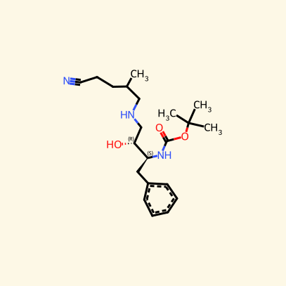 CC(CCC#N)CNC[C@@H](O)[C@H](Cc1ccccc1)NC(=O)OC(C)(C)C